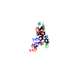 CC(C)(C[C@@H]1N[C@@H](C(=O)NCC(=O)O)[C@H](c2cccc(Cl)c2F)[C@@]1(C#N)c1ccc(Cl)cc1F)OC(=O)C(F)(F)F